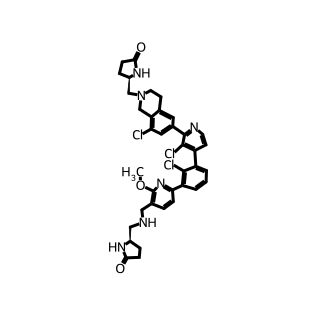 COc1nc(-c2cccc(-c3ccnc(-c4cc(Cl)c5c(c4)CCN(C[C@H]4CCC(=O)N4)C5)c3Cl)c2Cl)ccc1CNC[C@H]1CCC(=O)N1